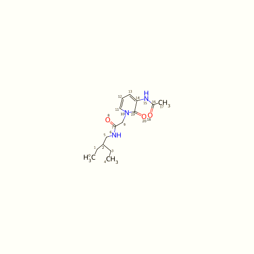 CCC(CC)CNC(=O)Cn1cccc(NC(C)=O)c1=O